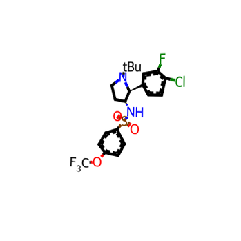 CC(C)(C)N1CC[C@@H](NS(=O)(=O)c2ccc(OC(F)(F)F)cc2)[C@@H]1c1ccc(Cl)c(F)c1